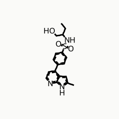 CCC(CO)NS(=O)(=O)c1ccc(-c2ccnc3[nH]c(C)cc23)cc1